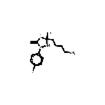 CCCCCC1(C)NC(=S)N(c2ccc(Cl)cc2)N1